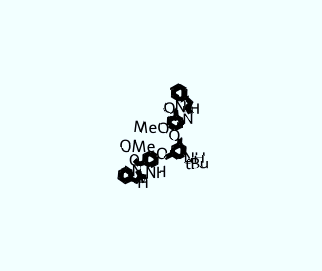 COc1cc2c(cc1OCc1cc(COc3cc4c(cc3OC)C(=O)N3c5ccccc5C[C@H]3CN4)cc(NC(C)(C)C)c1)N=C[C@@H]1Cc3ccccc3N1C2=O